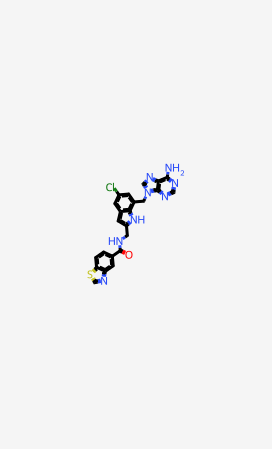 Nc1ncnc2c1ncn2Cc1cc(Cl)cc2cc(CNC(=O)c3ccc4scnc4c3)[nH]c12